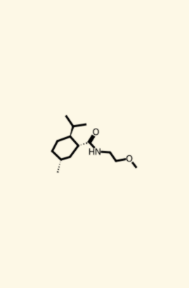 COCCNC(=O)[C@@H]1C[C@H](C)CC[C@H]1C(C)C